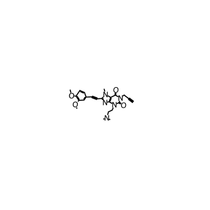 C#CCn1c(=O)c2c(nc(C#Cc3ccc(OC)c(OC)c3)n2C)n(CCN(C)C)c1=O